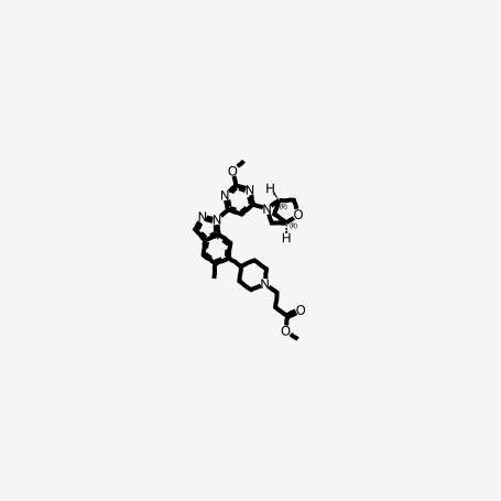 COC(=O)CCN1CCC(c2cc3c(cnn3-c3cc(N4C[C@H]5C[C@@H]4CO5)nc(OC)n3)cc2C)CC1